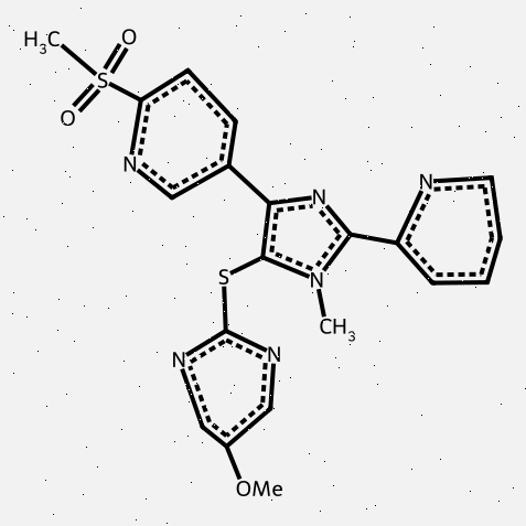 COc1cnc(Sc2c(-c3ccc(S(C)(=O)=O)nc3)nc(-c3ccccn3)n2C)nc1